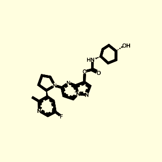 Cc1ncc(F)cc1[C@H]1CCCN1c1ccn2ncc(OC(=O)N[C@H]3CC[C@@H](O)CC3)c2n1